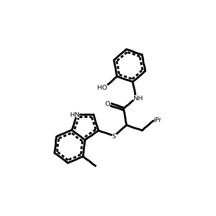 Cc1cccc2[nH]cc(SC(CC(C)C)C(=O)Nc3ccccc3O)c12